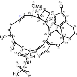 CO[C@H]1/C=C/CCN(C)C(=O)C[C@](O)(C(=O)NS(C)(=O)=O)c2ccc3c(c2)N(C[C@@H]2CC[C@H]21)C[C@@]1(CCCc2cc(Cl)ccc21)CO3